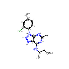 CCC(COC)Nc1nc(C)nc2c1nnn2-c1ccc(C(C)C)cc1Br